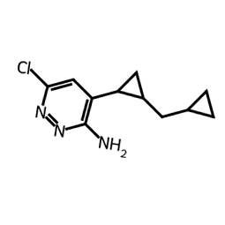 Nc1nnc(Cl)cc1C1CC1CC1CC1